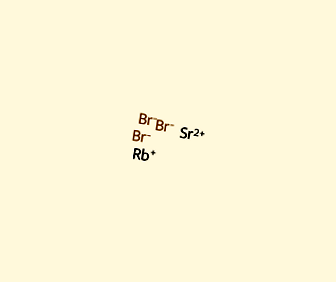 [Br-].[Br-].[Br-].[Rb+].[Sr+2]